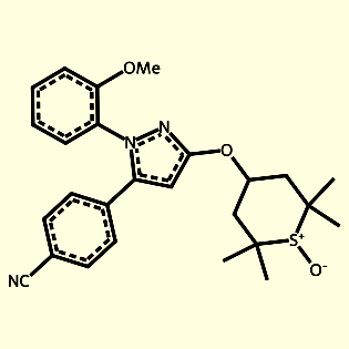 COc1ccccc1-n1nc(OC2CC(C)(C)[S+]([O-])C(C)(C)C2)cc1-c1ccc(C#N)cc1